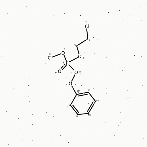 O=P(OCl)(OCCCl)OOc1ccccc1